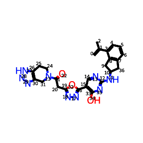 C=C(C)c1cccc2c1CC(Nc1ncc(-c3nnc(CC(=O)N4CCc5[nH]nnc5C4)o3)c(O)n1)C2